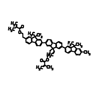 C=CC1(CCCOC(=O)C(=C)C)c2cc(-c3ccc4c(c3)C(C)(C(F)(F)F)c3cc(C)ccc3-4)ccc2-c2ccc(-c3ccc4c(c3)C(C)(C(F)(F)F)c3cc(CCOC(=O)C(=C)C)ccc3-4)cc21